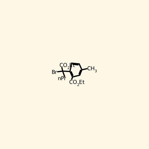 CCCC(Br)(C(=O)OCC)c1ccc(C)cc1C(=O)OCC